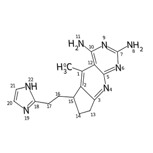 Cc1c2c(nc3nc(N)nc(N)c13)CCC2CCc1ncc[nH]1